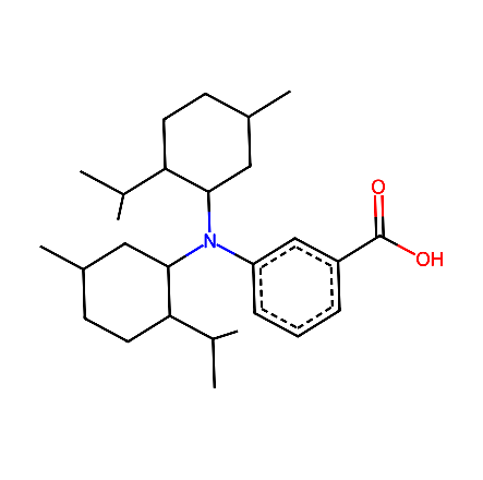 CC1CCC(C(C)C)C(N(c2cccc(C(=O)O)c2)C2CC(C)CCC2C(C)C)C1